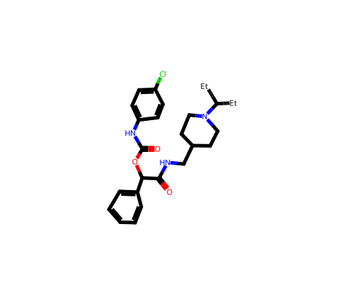 CCC(CC)N1CCC(CNC(=O)C(OC(=O)Nc2ccc(Cl)cc2)c2ccccc2)CC1